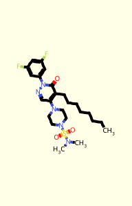 CCCCCCCCc1c(N2CCN(S(=O)(=O)N(C)C)CC2)cnn(-c2cc(F)cc(F)c2)c1=O